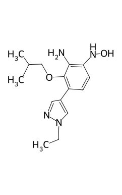 CCn1cc(-c2ccc(NO)c(N)c2OCC(C)C)cn1